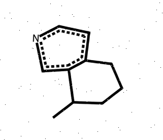 CC1CCCc2ccncc21